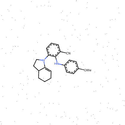 COc1ccc(Nc2c(C#N)cccc2N2CCC3CCCC=C32)cc1